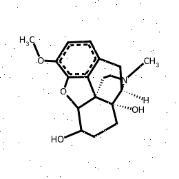 COc1ccc2c3c1OC1C(O)CC[C@]4(O)[C@H](C2)N(C)CC[C@@]314